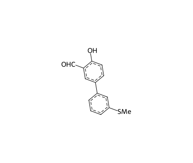 CSc1cccc(-c2ccc(O)c(C=O)c2)c1